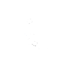 CCCCCCCc1ccc(C2C=CC(OCc3ccccc3)=C3N=C4CCCC(C)C4=C32)cc1